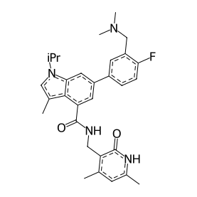 Cc1cc(C)c(CNC(=O)c2cc(-c3ccc(F)c(CN(C)C)c3)cc3c2c(C)cn3C(C)C)c(=O)[nH]1